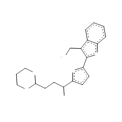 OCc1c(-c2ccc(C(O)CCC3OCCCO3)o2)oc2ccccc12